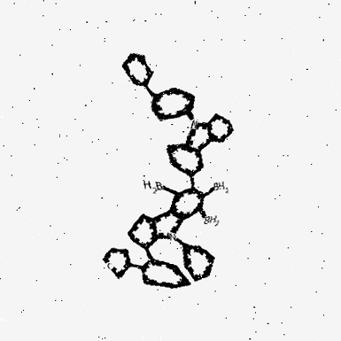 Bc1c(-c2ccc3c(c2)c2ccccc2n3-c2ccc(-c3ccccc3)cc2)c(B)c2c3cccc(-c4ccccc4-c4ccccc4)c3n(-c3ccccc3)c2c1B